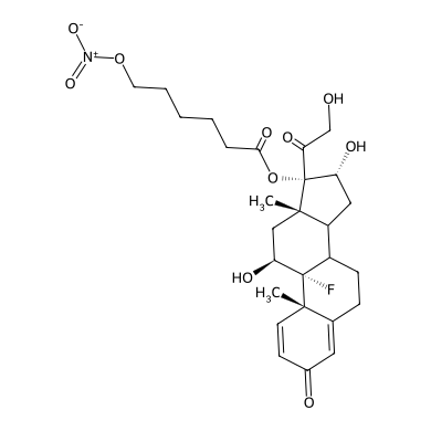 C[C@]12C=CC(=O)C=C1CCC1C3C[C@@H](O)[C@](OC(=O)CCCCCO[N+](=O)[O-])(C(=O)CO)[C@@]3(C)C[C@H](O)[C@@]12F